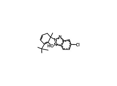 CC(C)(C)C1=C(O)C(C)(n2nc3ccc(Cl)cc3n2)CC=C1